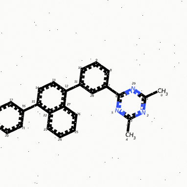 Cc1nc(C)nc(-c2cccc(-c3ccc(-c4ccccc4)c4ccccc34)c2)n1